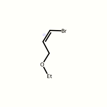 CCOC/C=C\Br